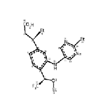 CCO[C@H](c1ccc([C@H](CC)CC(=O)O)cc1Nc1cnc(CC)nc1)C(F)(F)F